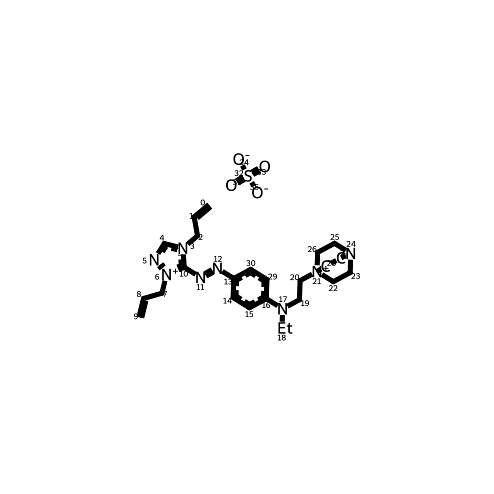 C=CCn1cn[n+](CC=C)c1/N=N/c1ccc(N(CC)CC[N+]23CCN(CC2)CC3)cc1.O=S(=O)([O-])[O-]